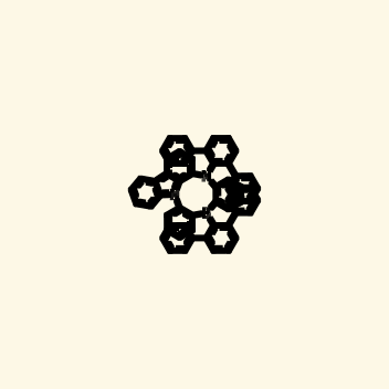 c1ccc(-c2cccc(-c3ccccc3)c2B2c3ccccc3N(c3c(-c4ccccc4)cccc3-c3ccccc3)c3cccc4c5ccccc5n(c34)-c3ccccc32)cc1